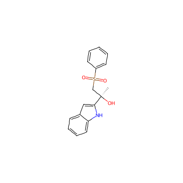 C[C@@](O)(CS(=O)(=O)c1ccccc1)c1cc2ccccc2[nH]1